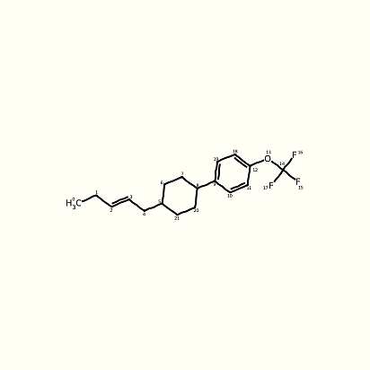 CC/C=C/CC1CCC(c2ccc(OC(F)(F)F)cc2)CC1